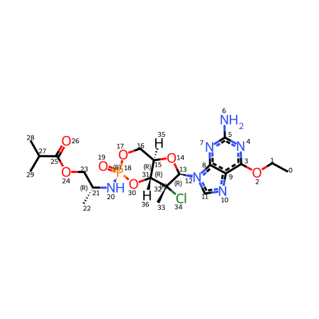 CCOc1nc(N)nc2c1ncn2[C@@H]1O[C@@H]2CO[P@](=O)(N[C@H](C)COC(=O)C(C)C)O[C@H]2[C@@]1(C)Cl